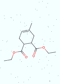 CCOC(=O)C1CC=C(C)CC1C(=O)OCC